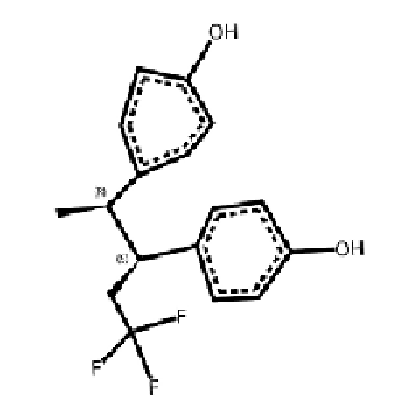 C[C@@H](c1ccc(O)cc1)[C@H](CC(F)(F)F)c1ccc(O)cc1